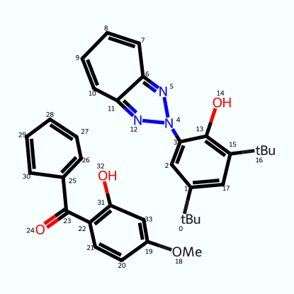 CC(C)(C)c1cc(-n2nc3ccccc3n2)c(O)c(C(C)(C)C)c1.COc1ccc(C(=O)c2ccccc2)c(O)c1